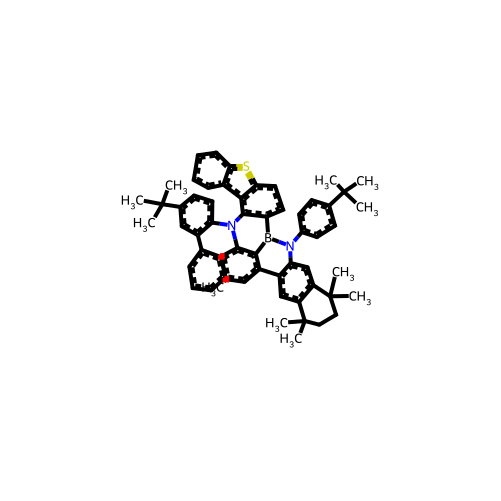 Cc1cc2c3c(c1)N(c1ccc(C(C)(C)C)cc1-c1ccccc1)c1c(ccc4sc5ccccc5c14)B3N(c1ccc(C(C)(C)C)cc1)c1cc3c(cc1-2)C(C)(C)CCC3(C)C